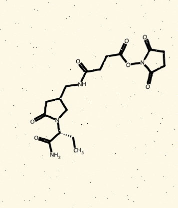 CC[C@H](C(N)=O)N1CC(CNC(=O)CCC(=O)ON2C(=O)CCC2=O)CC1=O